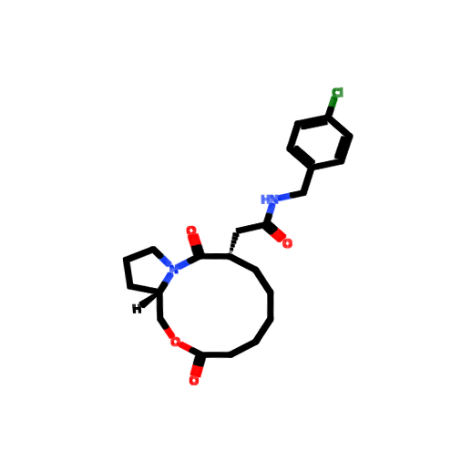 O=C(C[C@@H]1CCCCCC(=O)OC[C@@H]2CCCN2C1=O)NCc1ccc(Cl)cc1